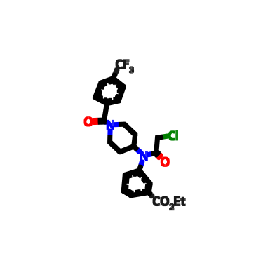 CCOC(=O)c1cccc(N(C(=O)CCl)C2CCN(C(=O)c3ccc(C(F)(F)F)cc3)CC2)c1